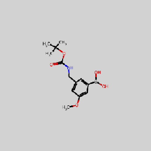 COc1cc(CNC(=O)OC(C)(C)C)cc(B(O)O)c1